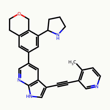 Cc1ccncc1C#Cc1c[nH]c2ncc(-c3cc4c(c(C5CCCN5)c3)COCC4)cc12